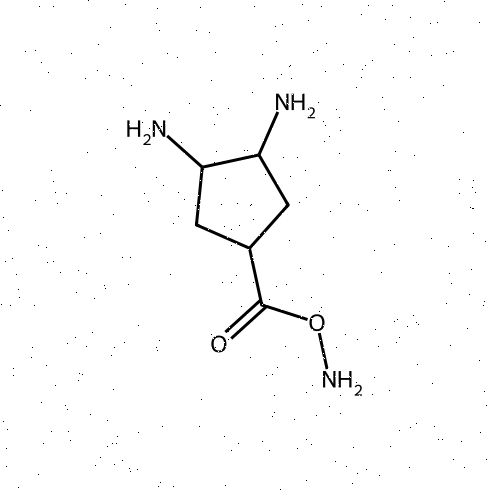 NOC(=O)C1CC(N)C(N)C1